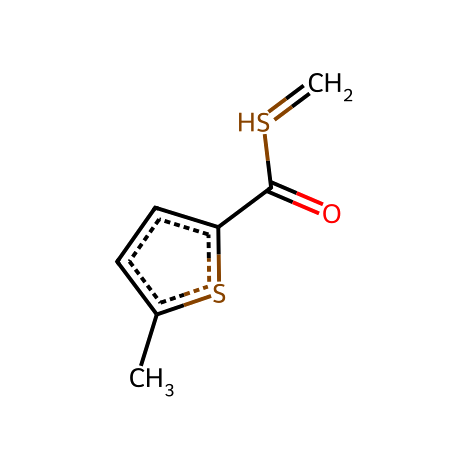 C=[SH]C(=O)c1ccc(C)s1